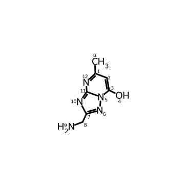 Cc1cc(O)n2nc(CN)nc2n1